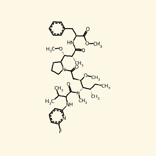 CC[C@H](C)[C@@H]([C@@H](CC(=O)N1CCCC1[C@H](OC)[C@@H](C)C(=O)NC(Cc1ccccc1)C(=O)OC)OC)N(C)C(=O)C(Nc1cccc(F)n1)C(C)C